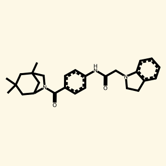 CC1(C)CC2CC(C)(CN2C(=O)c2ccc(NC(=O)CN3CCc4ccccc43)cc2)C1